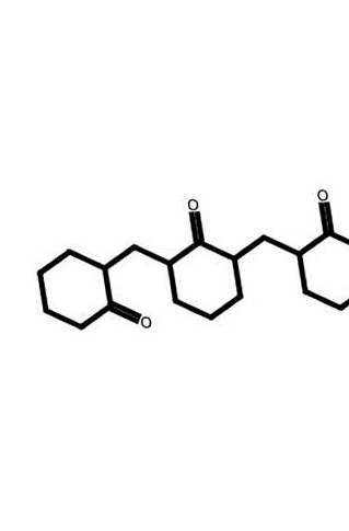 O=C1CCCCC1CC1CCCC(CC2CCCCC2=O)C1=O